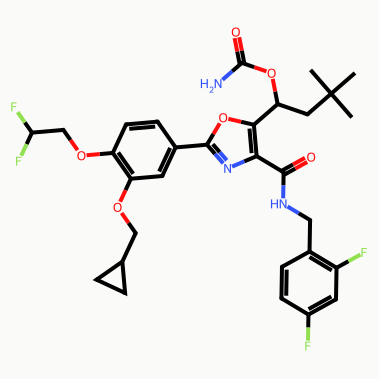 CC(C)(C)CC(OC(N)=O)c1oc(-c2ccc(OCC(F)F)c(OCC3CC3)c2)nc1C(=O)NCc1ccc(F)cc1F